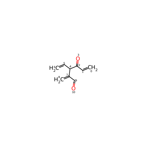 C=CC(=O)C(C=C)C(=C)[C]=O